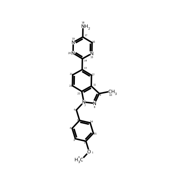 COc1ccc(Cn2nc(C)c3cc(-c4ncc(N)nn4)ccc32)cc1